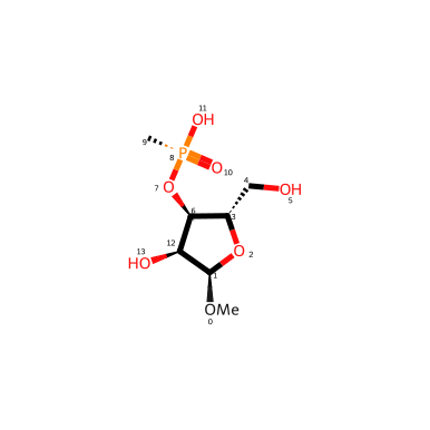 CO[C@@H]1O[C@@H](CO)[C@H](O[P@](C)(=O)O)[C@@H]1O